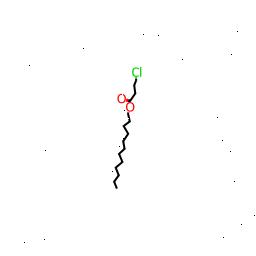 CCCCCCCCCCCCOC(=O)CCCCl